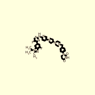 Cc1nc2c(F)cc(-c3nc(Nc4ccc(N5CCC(N6CCN(Cc7ccc(N8CCC(=O)NC8=O)cc7)CC6)CC5)cn4)ncc3F)cc2n1C(C)C